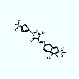 CC(=O)C1=NN(c2ccc(S(C)(=O)=O)cc2)C(=O)C1/N=N/c1ccc2c(O)c(C)c(S(C)(=O)=O)cc2c1